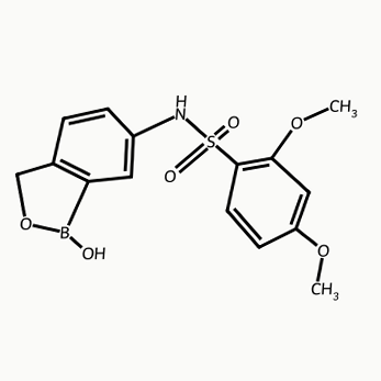 COc1ccc(S(=O)(=O)Nc2ccc3c(c2)B(O)OC3)c(OC)c1